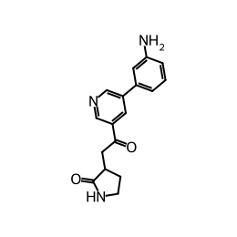 Nc1cccc(-c2cncc(C(=O)CC3CCNC3=O)c2)c1